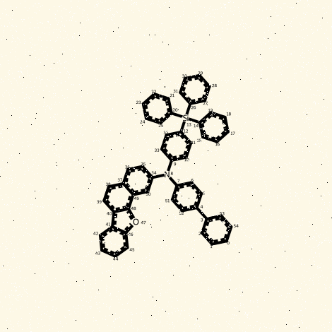 c1ccc(-c2ccc(N(c3ccc([Si](c4ccccc4)(c4ccccc4)c4ccccc4)cc3)c3ccc4ccc5c6ccccc6oc5c4c3)cc2)cc1